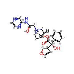 O=C(C[N+]12CCC(CC1)[C@@H](OC(=O)C(O)(c1ccccc1)c1ccoc1)C2)Nc1cnccn1